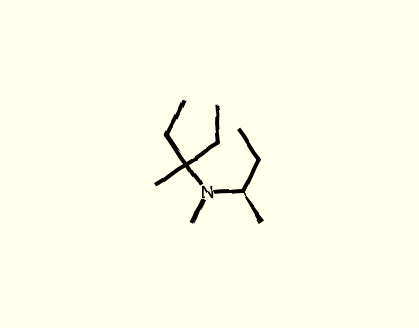 CC[C@@H](C)N(C)C(C)(CC)CC